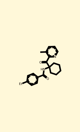 CCc1ccc(C(=O)NC2(C(=O)c3ncccc3C)CCCCC2)cc1